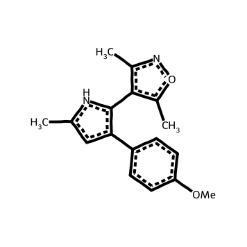 COc1ccc(-c2cc(C)[nH]c2-c2c(C)noc2C)cc1